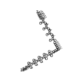 O=[Si]([O-])[O-].O=[Si]([O-])[O-].O=[Si]([O-])[O-].O=[Si]([O-])[O-].O=[Si]([O-])[O-].O=[Si]([O-])[O-].O=[Si]([O-])[O-].O=[Si]([O-])[O-].O=[Si]([O-])[O-].[Hf+4].[Hf+4].[Hf+4].[Hf+4].[O-2].[O-2].[O-2].[O-2].[O-2].[O-2].[O-2].[O-2].[O-2].[Ta+5].[Ta+5].[Ta+5].[Ta+5]